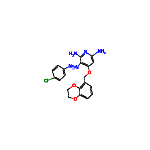 Nc1cc(OCc2cccc3c2OCCO3)c(/N=N/c2ccc(Cl)cc2)c(N)n1